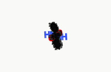 O=C1NC(c2ccc3ccccc3c2)=C2C(=O)NC(c3ccc4ccccc4c3)=C12